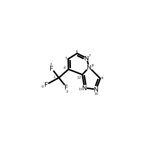 FC(F)(F)c1ccnn2cnnc12